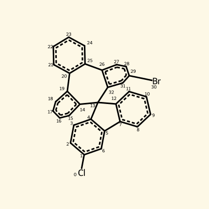 Clc1ccc2c(c1)-c1ccccc1C21c2ccccc2-c2ccccc2-c2ccc(Br)cc21